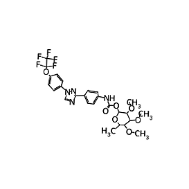 COC1C(C)OC(OC(=O)Nc2ccc(-c3ncn(-c4ccc(OC(F)(F)C(F)(F)F)cc4)n3)cc2)C(OC)C1OC